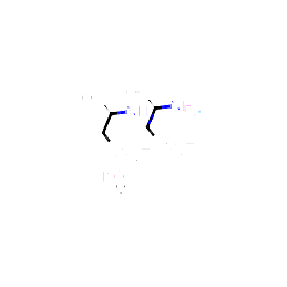 Cl.N[C@@H](CC(=O)O)C(=O)[O-].N[C@@H](CC(=O)O)C(=O)[O-].O.O.O.[Mg+2]